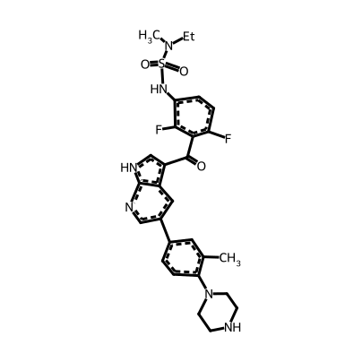 CCN(C)S(=O)(=O)Nc1ccc(F)c(C(=O)c2c[nH]c3ncc(-c4ccc(N5CCNCC5)c(C)c4)cc23)c1F